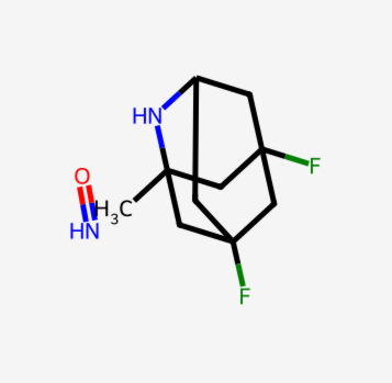 CC12CC3(F)CC(CC(F)(C3)C1)N2.N=O